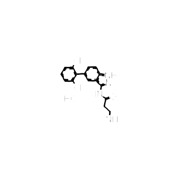 Cl.NCCC(=O)Nc1n[nH]c2ccc(-c3c(Cl)cccc3Cl)cc12